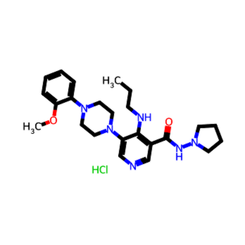 CCCNc1c(C(=O)NN2CCCC2)cncc1N1CCN(c2ccccc2OC)CC1.Cl